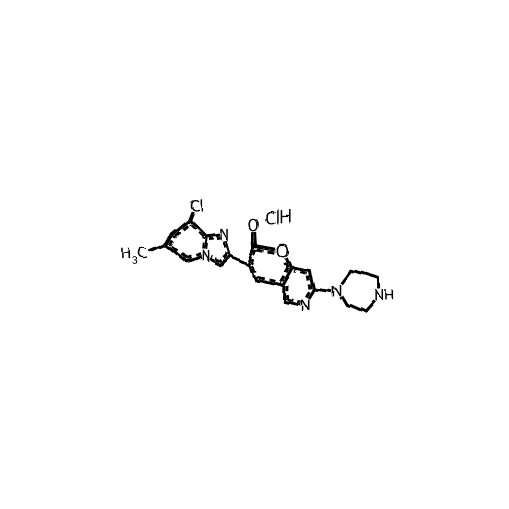 Cc1cc(Cl)c2nc(-c3cc4cnc(N5CCNCC5)cc4oc3=O)cn2c1.Cl